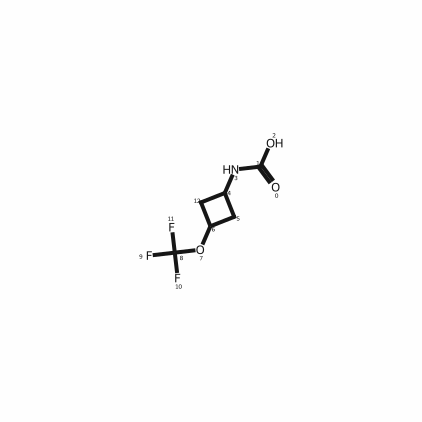 O=C(O)NC1CC(OC(F)(F)F)C1